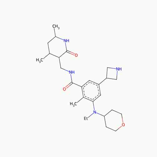 CCN(c1cc(C2CNC2)cc(C(=O)NCC2C(=O)NC(C)CC2C)c1C)C1CCOCC1